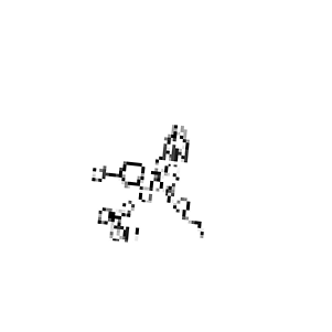 CCCOC[C@@H]1CO[C@@](Cn2cncn2)(c2ccc(Cl)cc2Cl)O1.O=[N+]([O-])O